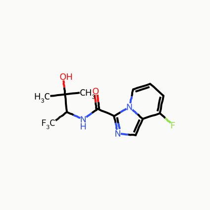 CC(C)(O)C(NC(=O)c1ncc2c(F)cccn12)C(F)(F)F